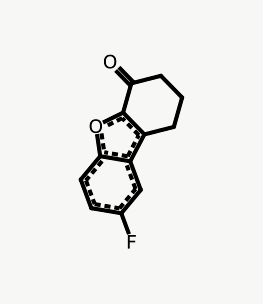 O=C1CCCc2c1oc1ccc(F)cc21